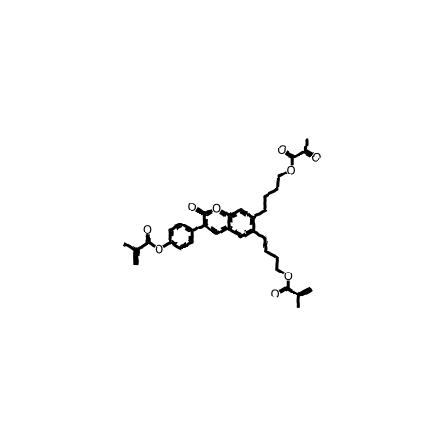 C=C(C)C(=O)OCCCCc1cc2cc(-c3ccc(OC(=O)C(=C)C)cc3)c(=O)oc2cc1CCCCOC(=O)C(C)=O